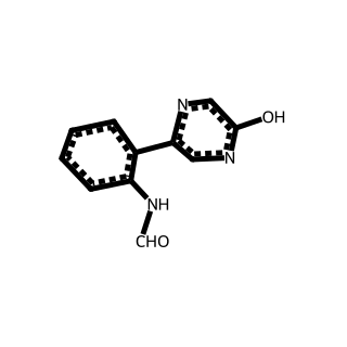 O=CNc1ccccc1-c1cnc(O)cn1